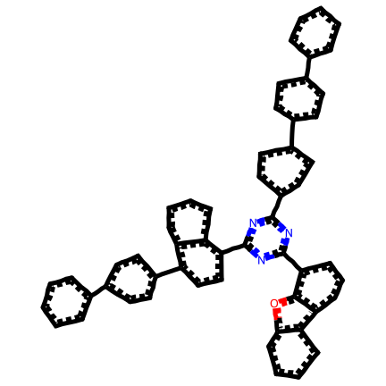 c1ccc(-c2ccc(-c3ccc(-c4nc(-c5ccc(-c6ccc(-c7ccccc7)cc6)c6ccccc56)nc(-c5cccc6c5oc5ccccc56)n4)cc3)cc2)cc1